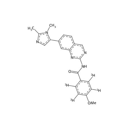 [2H]c1c([2H])c(C(=O)Nc2ncc3ccc(-c4cnc(C)n4C)cc3n2)c([2H])c([2H])c1OC